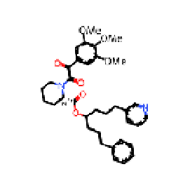 COc1cc(C(=O)C(=O)N2CCCC[C@H]2C(=O)OC(CCCc2ccccc2)CCCc2cccnc2)cc(OC)c1OC